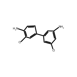 Nc1cc(Cl)cc(-c2ccc(N)c(Cl)c2)c1